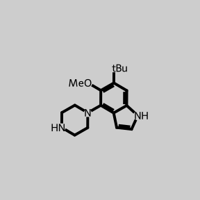 COc1c(C(C)(C)C)cc2[nH]ccc2c1N1CCNCC1